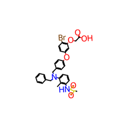 Cc1c(NS(C)(=O)=O)cccc1N(Cc1ccccc1)Cc1ccc(Oc2ccc(Br)c(OCC(=O)O)c2)cc1